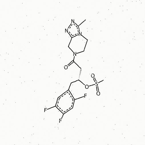 Cc1nnc2n1CCN(C(=O)C[C@@H](Cc1cc(F)c(F)cc1F)OS(C)(=O)=O)C2